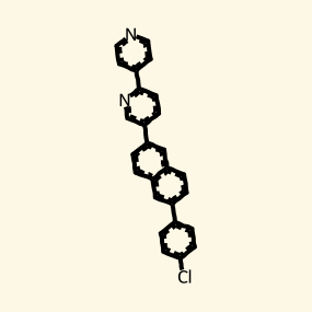 Clc1ccc(-c2ccc3cc(-c4ccc(-c5ccncc5)nc4)ccc3c2)cc1